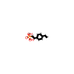 C=Cc1ccc(/C=C/P(=O)(O)O)cc1